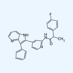 CC(C(=O)Nc1cc(-c2[nH]c3cccnc3c2-c2ccccc2)ccn1)c1ccc(F)cc1